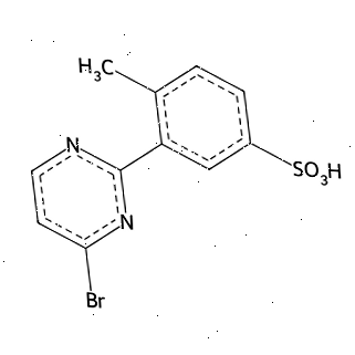 Cc1ccc(S(=O)(=O)O)cc1-c1nccc(Br)n1